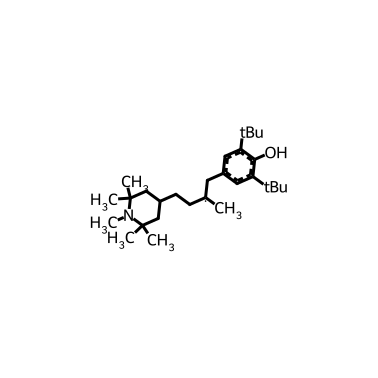 C[C](CCC1CC(C)(C)N(C)C(C)(C)C1)Cc1cc(C(C)(C)C)c(O)c(C(C)(C)C)c1